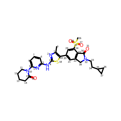 Cc1nc(Nc2cccc(N3CCCCC3=O)n2)sc1-c1cc2c(c(S(C)(=O)=O)c1)C(=O)N(CCC1CC1)C2